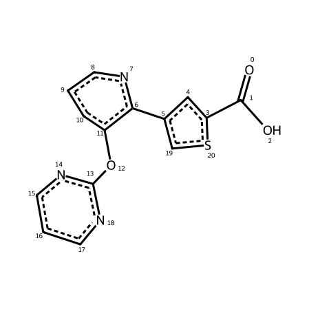 O=C(O)c1cc(-c2ncccc2Oc2ncccn2)cs1